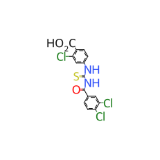 O=C(NC(=S)Nc1ccc(C(=O)O)c(Cl)c1)c1ccc(Cl)c(Cl)c1